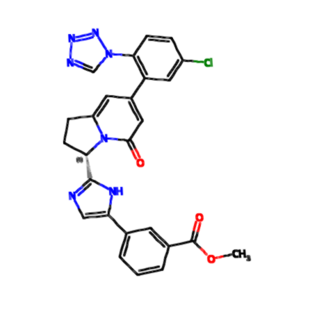 COC(=O)c1cccc(-c2cnc([C@@H]3CCc4cc(-c5cc(Cl)ccc5-n5cnnn5)cc(=O)n43)[nH]2)c1